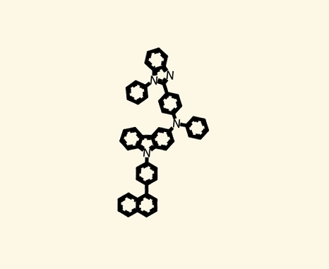 c1ccc(N(c2ccc(-c3nc4ccccc4n3-c3ccccc3)cc2)c2ccc3c(c2)c2ccccc2n3-c2ccc(-c3cccc4ccccc34)cc2)cc1